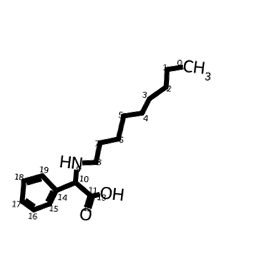 CCCCCCCCCNC(C(=O)O)c1ccccc1